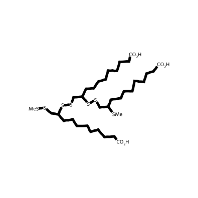 CSSCC(CCCCCCCCC(=O)O)SSCC(CCCCCCCCC(=O)O)SSCC(CCCCCCCCC(=O)O)SC